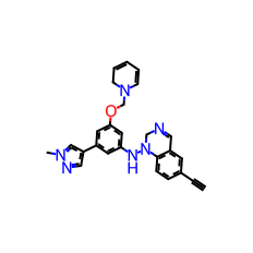 C#Cc1ccc2c(c1)C=NCN2Nc1cc(OCN2C=CC=CC2)cc(-c2cnn(C)c2)c1